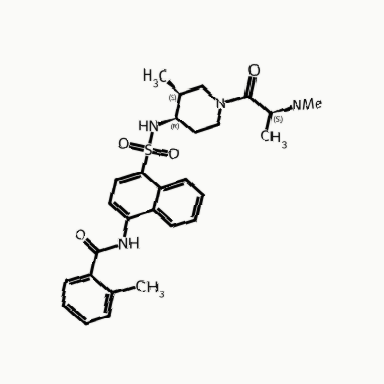 CN[C@@H](C)C(=O)N1CC[C@@H](NS(=O)(=O)c2ccc(NC(=O)c3ccccc3C)c3ccccc23)[C@@H](C)C1